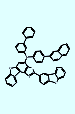 c1ccc(-c2cccc(N(c3ccc(-c4ccc5ccccc5c4)cc3)c3cc4oc5ccccc5c4c4nc(-c5ccc6oc7ccccc7c6c5)sc34)c2)cc1